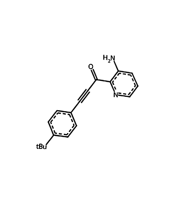 CC(C)(C)c1ccc(C#CC(=O)c2ncccc2N)cc1